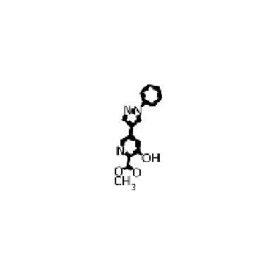 COC(=O)c1ncc(-c2cnn(-c3ccccc3)c2)cc1O